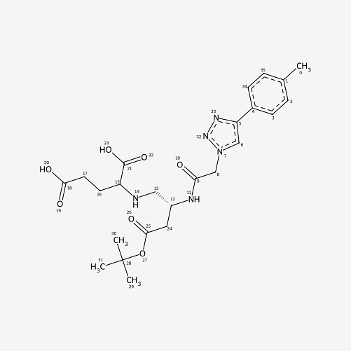 Cc1ccc(-c2cn(CC(=O)N[C@@H](CNC(CCC(=O)O)C(=O)O)CC(=O)OC(C)(C)C)nn2)cc1